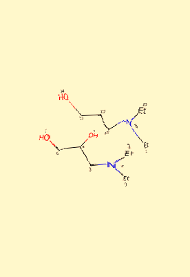 CCN(CC)CC(O)CO.CCN(CC)CCCO